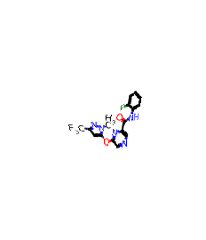 Cn1nc(C(F)(F)F)cc1Oc1cncc(C(=O)Nc2ccccc2F)n1